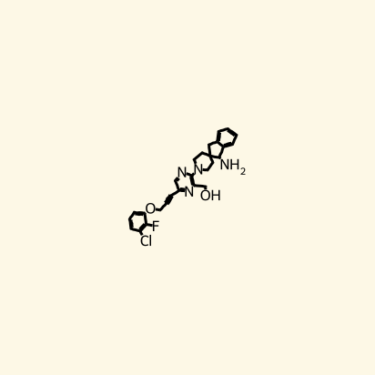 N[C@@H]1c2ccccc2CC12CCN(c1ncc(C#CCOc3cccc(Cl)c3F)nc1CO)CC2